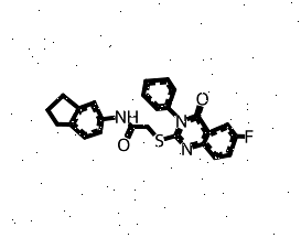 O=C(CSc1nc2ccc(F)cc2c(=O)n1-c1ccccc1)Nc1ccc2c(c1)CCC2